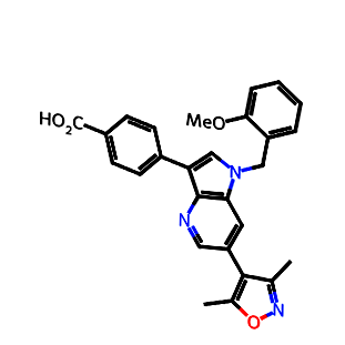 COc1ccccc1Cn1cc(-c2ccc(C(=O)O)cc2)c2ncc(-c3c(C)noc3C)cc21